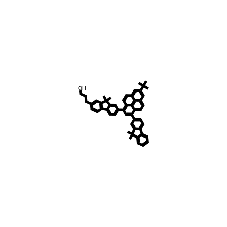 CC(C)(C)c1cc2ccc3c(-c4ccc5c(c4)C(C)(C)c4ccccc4-5)cc(-c4ccc5c(c4)C(C)(C)c4cc(CCCO)ccc4-5)c4ccc(c1)c2c34